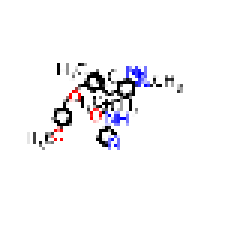 CCn1nnc2c(C)c([C@H](c3ccc(C)c(COCc4ccc(OC)cc4)c3)C(C)(C)C(=O)Nc3cccnc3)ccc21